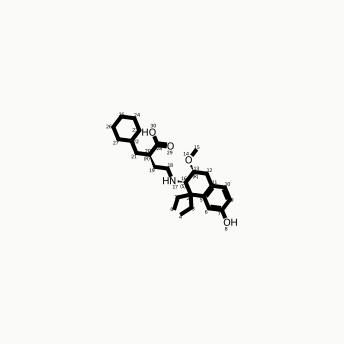 CCC1(CC)c2cc(O)ccc2C[C@@H](OC)[C@H]1NCC[C@@H](CC1CCCCC1)C(=O)O